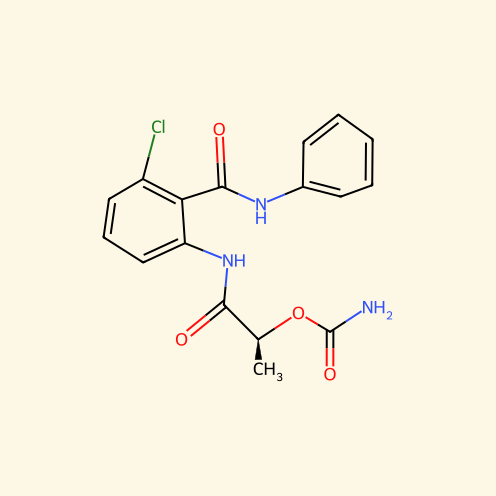 C[C@H](OC(N)=O)C(=O)Nc1cccc(Cl)c1C(=O)Nc1ccccc1